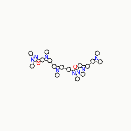 c1ccc(-c2nc(-c3ccccc3)c3oc4cc5c6cc(-c7ccc8c(c7)c7ccc(-c9ccc(-c%10nc(-c%11ccccc%11)nc%11c%10oc%10ccc%12c%13cc(-c%14ccc%15c(c%14)c%14ccccc%14n%15-c%14ccccc%14)ccc%13n(-c%13ccccc%13)c%12c%10%11)cc9)cc7n8-c7ccccc7)ccc6n(-c6ccccc6)c5cc4c3n2)cc1